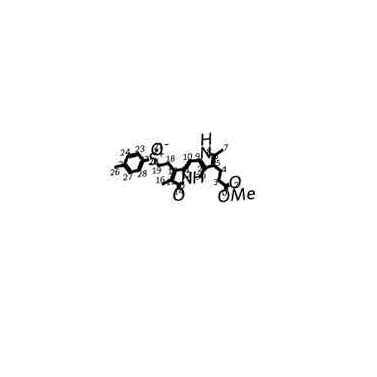 COC(=O)CCc1c(C)[nH]c(/C=C2\NC(=O)C(C)=C2CC[S+]([O-])c2ccc(C)cc2)c1C